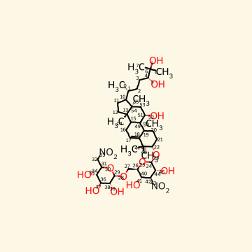 C[C@H](CC[C@@H](O)C(C)(C)O)C1CC[C@@]2(C)C3CC=C4C(CC[C@H](O[C@@H]5O[C@H](CO[C@@H]6OC(C[N+](=O)[O-])[C@@H](O)[C@H](O)[C@H]6O)[C@@H](O)[C@H]([N+](=O)[O-])[C@H]5O)C4(C)C)[C@]3(C)[C@H](O)C[C@]12C